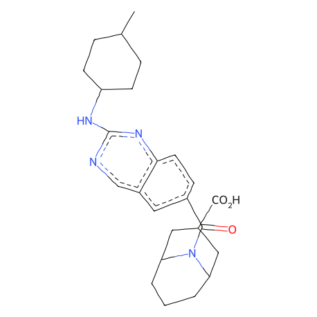 CC1CCC(Nc2ncc3cc(C(=O)N4C5CCCC4CC(C(=O)O)C5)ccc3n2)CC1